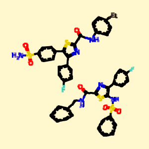 CCc1ccc(NC(=O)c2nc(-c3ccc(F)cc3)c(-c3ccc(S(N)(=O)=O)cc3)s2)cc1.O=C(NCc1ccccc1)c1nc(-c2ccc(F)cc2)c(NS(=O)(=O)c2ccccc2)s1